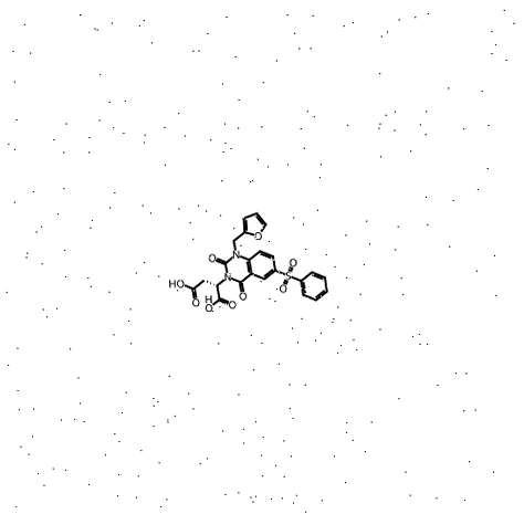 O=C(O)C[C@@H](C(=O)O)n1c(=O)c2cc(S(=O)(=O)c3ccccc3)ccc2n(Cc2ccco2)c1=O